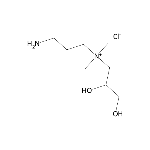 C[N+](C)(CCCN)CC(O)CO.[Cl-]